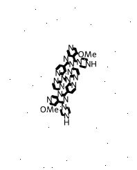 COc1cncc2nc(-c3ccnc(N(c4ncccn4)N(c4cc(-c5nc(N6CCNCC6)c6c(OC)cncc6n5)ccn4)c4ncccn4)c3)nc(N3CCNCC3)c12